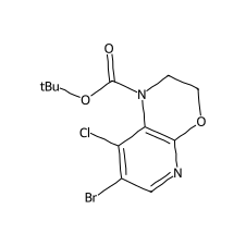 CC(C)(C)OC(=O)N1CCOc2ncc(Br)c(Cl)c21